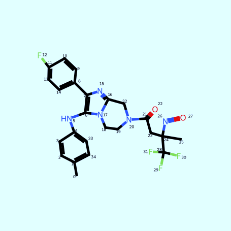 Cc1ccc(Nc2c(-c3ccc(F)cc3)nc3n2CCN(C(=O)CC(C)(N=O)C(F)(F)F)C3)cc1